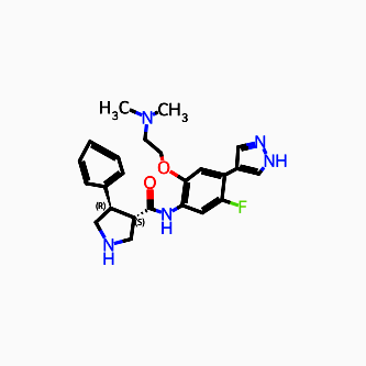 CN(C)CCOc1cc(-c2cn[nH]c2)c(F)cc1NC(=O)[C@@H]1CNC[C@H]1c1ccccc1